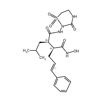 CC(C)C[C@@H](C(=O)NN1C(=O)NCCS1(=O)=O)[C@H](C/C=C/c1ccccc1)C(=O)NO